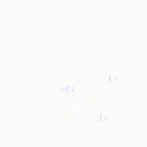 CCOC(=O)C(NC(=O)OC(C)(C)C)C(C1CCCCC1)C1CCCCC1